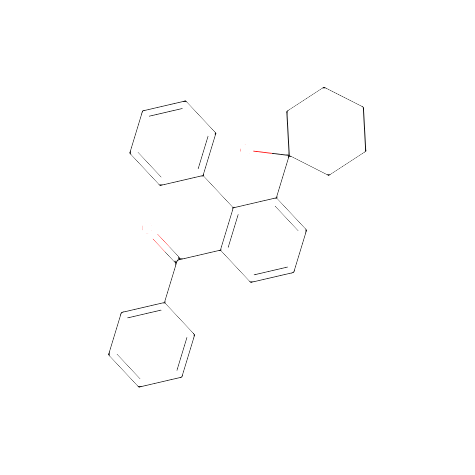 O=C(c1ccccc1)c1cccc(C2(O)CCCCC2)c1-c1ccccc1